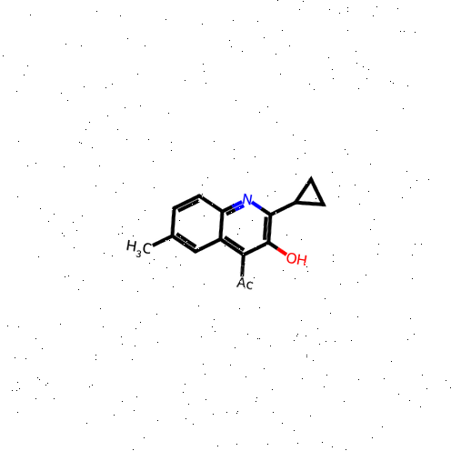 CC(=O)c1c(O)c(C2CC2)nc2ccc(C)cc12